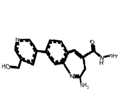 CCCNC(=O)C1=Cc2ccc(-c3cncc(CO)c3)cc2N=C(N)C1